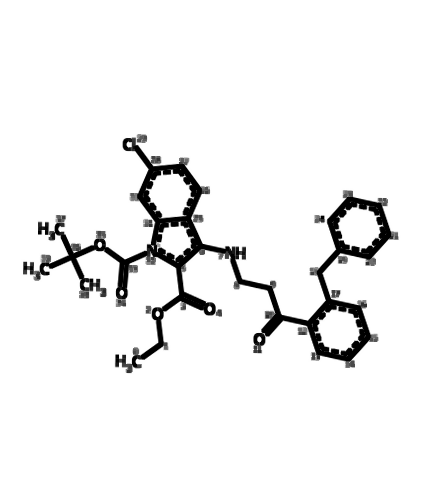 CCOC(=O)c1c(NCCC(=O)c2ccccc2Cc2ccccc2)c2ccc(Cl)cc2n1C(=O)OC(C)(C)C